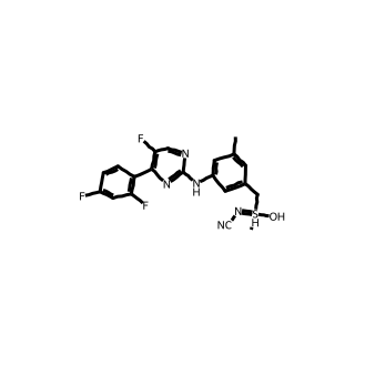 Cc1cc(C[SH](C)(O)=NC#N)cc(Nc2ncc(F)c(-c3ccc(F)cc3F)n2)c1